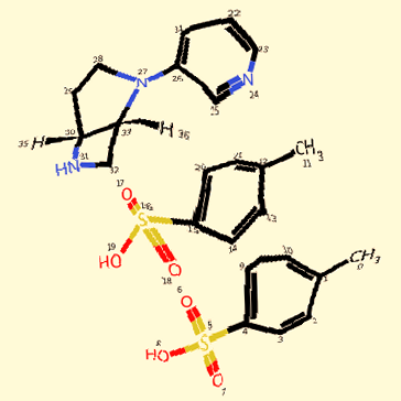 Cc1ccc(S(=O)(=O)O)cc1.Cc1ccc(S(=O)(=O)O)cc1.c1cncc(N2CC[C@H]3NC[C@H]32)c1